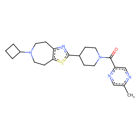 Cc1cnc(C(=O)N2CCC(c3nc4c(s3)CCN(C3CCC3)CC4)CC2)cn1